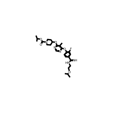 Cc1c(Oc2ccc(C(=N)NCCOC(C)C)cc2F)ncnc1OC1CCN(C(=O)OC(C)C)CC1